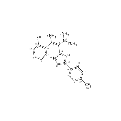 CN(N)/C(=C(\N)c1ccccc1F)c1cn(-c2ccc(C(F)(F)F)cn2)cn1